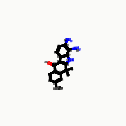 COc1ccc2c(c1)C(C)(C)c1[nH]c3c(N)c(N)ccc3c1C2=O